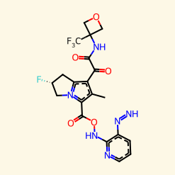 Cc1c(C(=O)C(=O)NC2(C(F)(F)F)COC2)c2n(c1C(=O)ONc1ncccc1N=N)C[C@H](F)C2